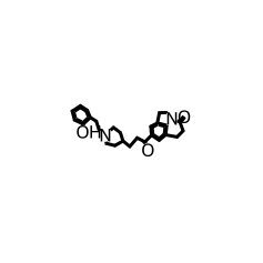 O=C(CCC1CCN(CCc2ccccc2O)CC1)c1cc2c3c(c1)CCN3C(=O)CC2